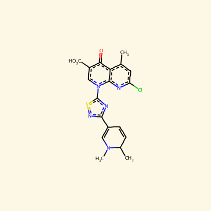 Cc1cc(Cl)nc2c1c(=O)c(C(=O)O)cn2-c1nc(C2=CN(C)C(C)C=C2)ns1